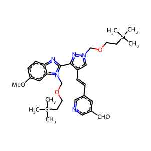 COc1ccc2nc(-c3nn(COCC[Si](C)(C)C)cc3C=Cc3cncc(C=O)c3)n(COCC[Si](C)(C)C)c2c1